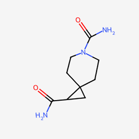 NC(=O)C1CC12CCN(C(N)=O)CC2